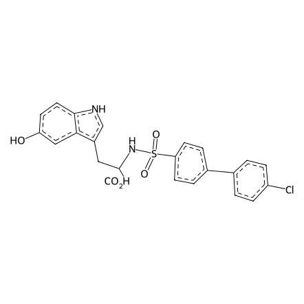 O=C(O)C(Cc1c[nH]c2ccc(O)cc12)NS(=O)(=O)c1ccc(-c2ccc(Cl)cc2)cc1